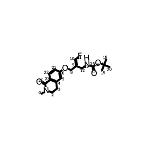 CN1CCc2cc(OCC(=CF)CNC(=O)OC(C)(C)C)ccc2C1=O